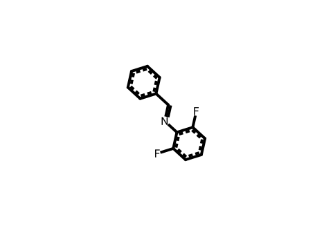 Fc1cccc(F)c1N=Cc1ccccc1